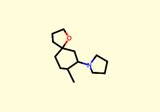 CC1CCC2(CCCO2)CC1N1CCCC1